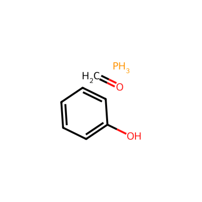 C=O.Oc1ccccc1.P